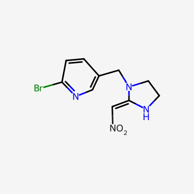 O=[N+]([O-])/C=C1\NCCN1Cc1ccc(Br)nc1